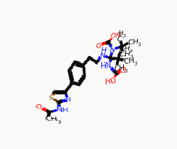 CC(=O)Nc1nc(-c2ccc(CCNC(NC(=O)O)(N(C(=O)O)C(C)(C)C)C(C)(C)C)cc2)cs1